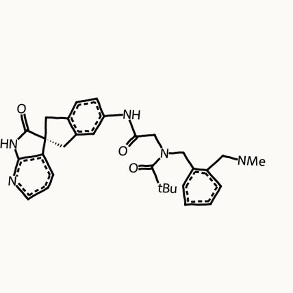 CNCc1ccccc1CN(CC(=O)Nc1ccc2c(c1)C[C@@]1(C2)C(=O)Nc2ncccc21)C(=O)C(C)(C)C